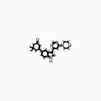 CC1(C)CC(=O)C=C(c2ccc3[nH]nc(-c4cc(N5CCOCC5)ncn4)c3c2)C1